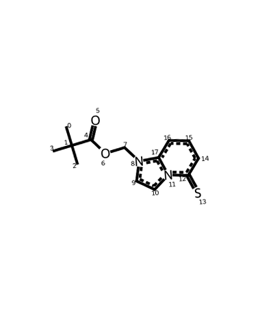 CC(C)(C)C(=O)OCn1ccn2c(=S)cccc12